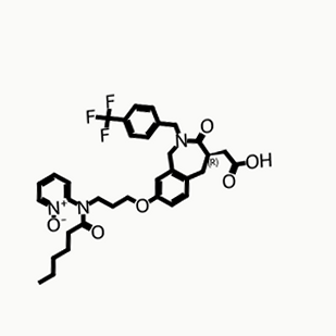 CCCCCC(=O)N(CCCOc1ccc2c(c1)CN(Cc1ccc(C(F)(F)F)cc1)C(=O)[C@@H](CC(=O)O)C2)c1cccc[n+]1[O-]